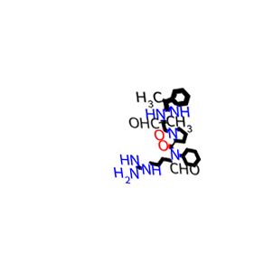 Cc1c(N[C@](C)(C=O)C(=O)N2CCC[C@H]2C(=O)N(C2CCCCC2)[C@H](C=O)CCCNC(=N)N)[nH]c2ccccc12